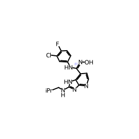 CC(C)CNc1nc2nccc(/C(=N\O)Nc3ccc(F)c(Cl)c3)c2[nH]1